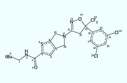 CC(C)(C)CNC(=O)c1cc2c(s1)CN(C1=NOC(c3cc(Cl)cc(Cl)c3)(C(F)(F)F)C1)C2